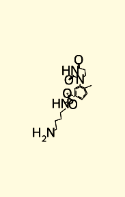 Cc1ccc(S(=O)(=O)NCCCCCN)cc1N1CCC(=O)NC1=O